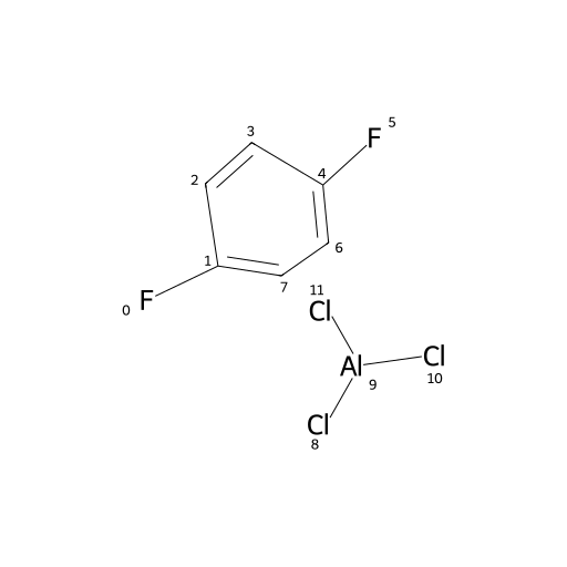 Fc1ccc(F)cc1.[Cl][Al]([Cl])[Cl]